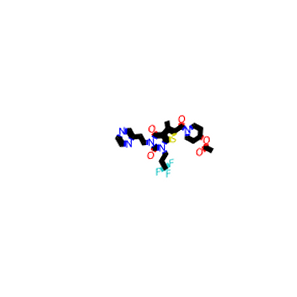 CC(=O)OC1CCN(C(=O)c2sc3c(c2C)c(=O)n(CCc2cnccn2)c(=O)n3CCC(F)(F)F)CC1